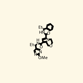 CC[C@H](NC(=O)c1cc(C(=O)N[C@H](CC)c2ccccc2)n2c1COCC2)c1cnc(OC)nc1